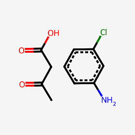 CC(=O)CC(=O)O.Nc1cccc(Cl)c1